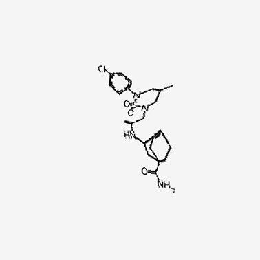 C=C(CN1CC(C)CN(c2ccc(Cl)cc2)S1(=O)=O)NC1CC2(C(N)=O)CCC=C1C2